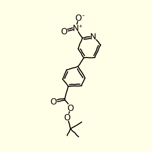 CC(C)(C)OOC(=O)c1ccc(-c2ccnc([N+](=O)[O-])c2)cc1